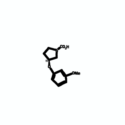 COc1cccc(O[C@H]2CCN(C(=O)O)C2)c1